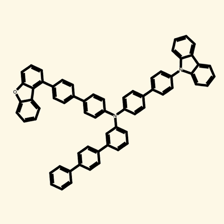 c1ccc(-c2ccc(-c3cccc(N(c4ccc(-c5ccc(-c6cccc7oc8ccccc8c67)cc5)cc4)c4ccc(-c5ccc(-n6c7ccccc7c7ccccc76)cc5)cc4)c3)cc2)cc1